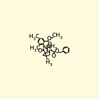 CCOC(=O)c1cc(C)cc(C)c1NC(=O)C1([N+](CC)(CC)CC(=O)OCc2ccccc2)CC1